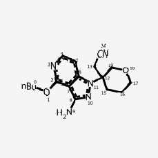 CCCCOc1nccc2c1c(N)nn2C1(CC#N)CCCOC1